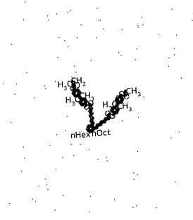 C=CC(=O)OC1CCC(C(C)(C)C2CCC(OC(=O)CCCCCCCC3C(CCCCCCCC(=O)OC4CCC(C(C)(C)C5CCC(OC(=O)C(=C)C)CC5)CC4)CCC(CCCCCC)C3CCCCCCCC)CC2)CC1